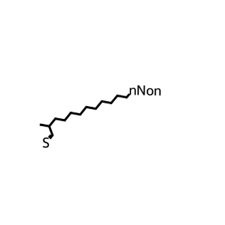 CCCCCCCCCCCCCCCCCCCC(C)C=S